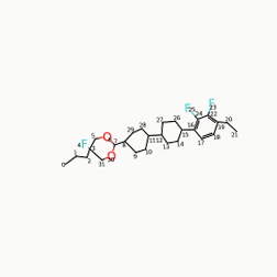 CCCC1(F)COC(C2CCC(C3CCC(c4ccc(CC)c(F)c4F)CC3)CC2)OC1